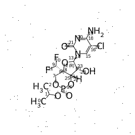 CC(C)OP1(=O)OC[C@@]2(C(F)F)O[C@@H](n3cc(Cl)c(N)nc3=O)[C@H](O)[C@@H]2O1